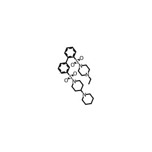 CCN1CCN(S(=O)(=O)c2ccccc2-c2cc[c]c(S(=O)(=O)N3CCC(N4CCCCC4)CC3)c2)CC1